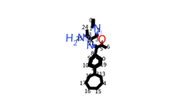 C=C/N=C1/OC(C)C(c2ccc(C3CCCCCC3)cc2)=N/C1=C(/C)N